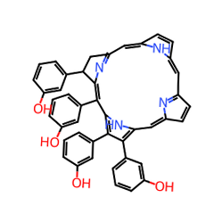 Oc1cccc(-c2c(-c3cccc(O)c3)c3[nH]c2cc2nc(cc4ccc(cc5nc(c3-c3cccc(O)c3)C(c3cccc(O)c3)C5)[nH]4)C=C2)c1